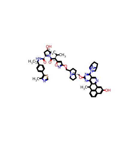 Cc1ncsc1-c1ccc([C@H](C)NC(=O)[C@@H]2C[C@@H](O)CN2C(=O)[C@H](c2cc(OCC3CC[C@@]4(COc5nc(N6CC7CCC(C6)N7)c6cnc7c(c6n5)C(C)c5cccc6cc(O)cc-7c56)CCCN34)no2)C(C)C)cc1